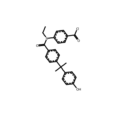 CCN(C(=O)c1ccc(C(C)(C)c2ccc(O)cc2)cc1)c1ccc(C(=O)Cl)cc1